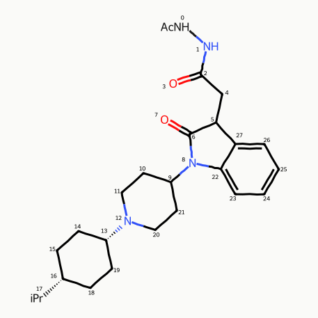 CC(=O)NNC(=O)CC1C(=O)N(C2CCN([C@H]3CC[C@@H](C(C)C)CC3)CC2)c2ccccc21